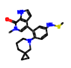 CSNc1ccc(N2CCCC3(CC3)C2)c(-c2cn(C)c(=O)c3[nH]ccc23)c1